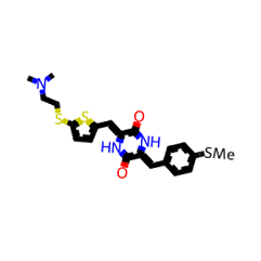 CSc1ccc(C=c2[nH]c(=O)c(=Cc3ccc(SCCN(C)C)s3)[nH]c2=O)cc1